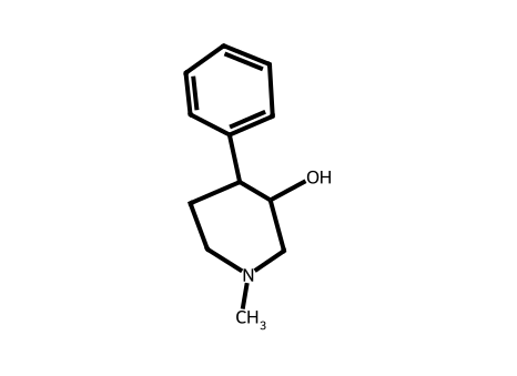 CN1CCC(c2ccccc2)C(O)C1